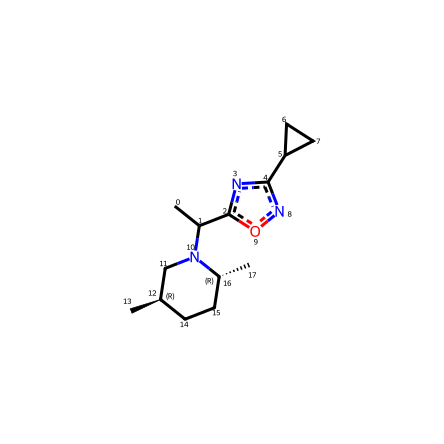 CC(c1nc(C2CC2)no1)N1C[C@H](C)CC[C@H]1C